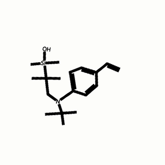 C=Cc1ccc(N(CC(C)(C)[Si](C)(C)O)C(C)(C)C)cc1